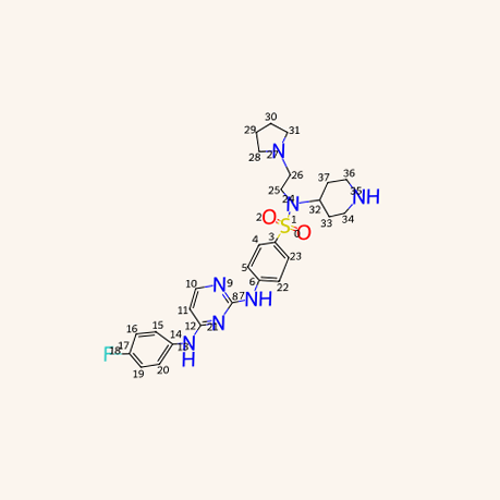 O=S(=O)(c1ccc(Nc2nccc(Nc3ccc(F)cc3)n2)cc1)N(CCN1CCCC1)C1CCNCC1